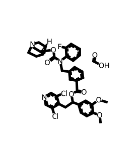 COc1ccc(C(Cc2c(Cl)cncc2Cl)OC(=O)c2cccc(CN(C(=O)O[C@H]3CN4CCC3CC4)c3ccccc3F)c2)cc1OC.O=CO